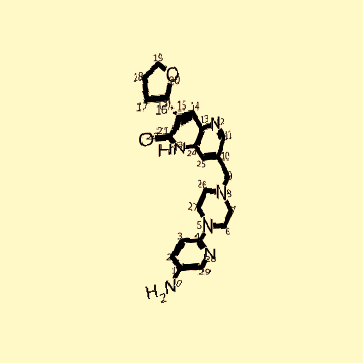 Nc1ccc(N2CCN(Cc3cnc4cc([C@@H]5CCCO5)c(=O)[nH]c4c3)CC2)nc1